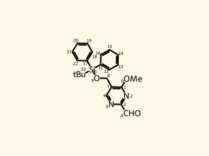 COc1nc(C=O)ncc1CO[Si](c1ccccc1)(c1ccccc1)C(C)(C)C